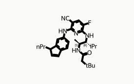 CCCC1C=Cc2ccc(Nc3nc(N[C@H](C(C)C)[C@H](C)NC(=O)CC(C)(C)C)c(F)cc3C#N)cc21